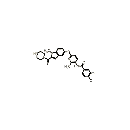 Cc1nc(Oc2ccc3c(c2)cc(C(=O)N2CCNCC2)n3C)ccc1NC(=O)c1ccc(Cl)c(Cl)c1